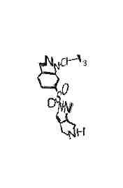 Cn1ncc2ccc(S(=O)(=O)n3cc4c(n3)CNC4)cc21